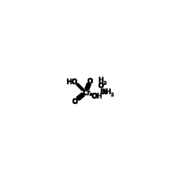 O.[BiH3].[O]=[Cr](=[O])([OH])[OH]